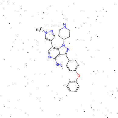 Cn1cc(-c2cnc(N)c3c(-c4ccc(Oc5ccccc5)cc4)nn(C4CCNCC4)c23)cn1